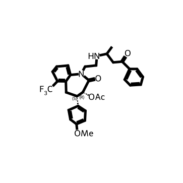 COc1ccc([C@@H]2Cc3c(cccc3C(F)(F)F)N(CCNC(C)CC(=O)c3ccccc3)C(=O)[C@@H]2OC(C)=O)cc1